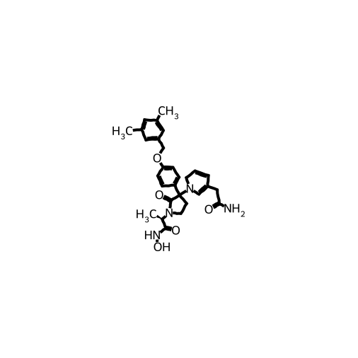 Cc1cc(C)cc(COc2ccc(C3(N4C=C(CC(N)=O)C=CC4)CCN([C@H](C)C(=O)NO)C3=O)cc2)c1